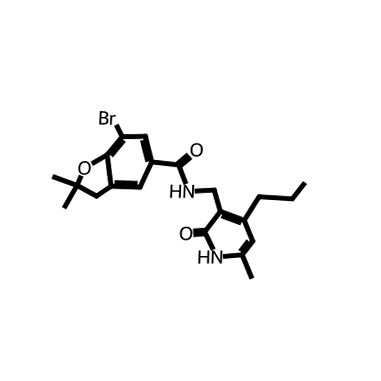 CCCc1cc(C)[nH]c(=O)c1CNC(=O)c1cc(Br)c2c(c1)CC(C)(C)O2